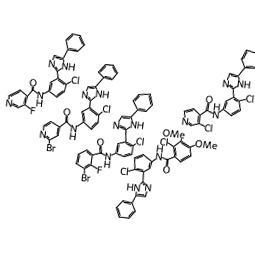 COc1ccc(C(=O)Nc2ccc(Cl)c(-c3ncc(-c4ccccc4)[nH]3)c2)c(Cl)c1OC.O=C(Nc1ccc(Cl)c(-c2ncc(-c3ccccc3)[nH]2)c1)c1cccc(Br)c1F.O=C(Nc1ccc(Cl)c(-c2ncc(-c3ccccc3)[nH]2)c1)c1ccnc(Br)c1.O=C(Nc1ccc(Cl)c(-c2ncc(-c3ccccc3)[nH]2)c1)c1ccncc1Cl.O=C(Nc1ccc(Cl)c(-c2ncc(-c3ccccc3)[nH]2)c1)c1ccncc1F